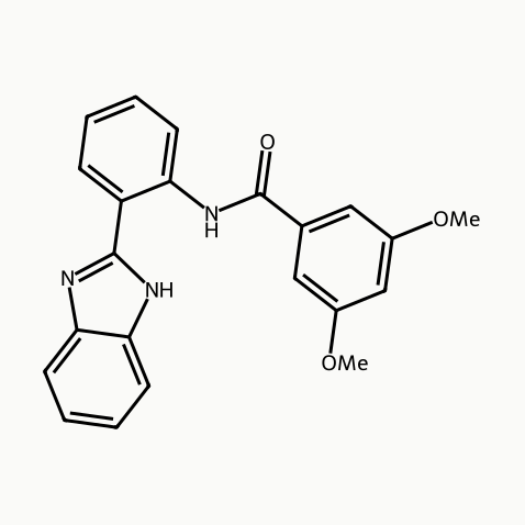 COc1cc(OC)cc(C(=O)Nc2ccccc2-c2nc3ccccc3[nH]2)c1